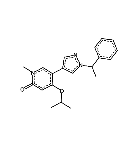 CC(C)Oc1cc(=O)n(C)cc1-c1cnn(C(C)c2ccccc2)c1